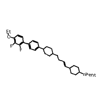 CCCCCC1CCC(/C=C/CCC2CCC(c3ccc(-c4ccc(OCC)c(F)c4F)cc3)CC2)CC1